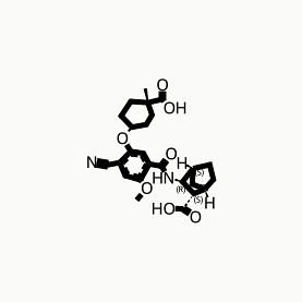 COc1cc(C#N)c(O[C@H]2CC[C@@](C)(C(=O)O)CC2)cc1C(=O)N[C@@H]1[C@H]2CC[C@H](C2)[C@@H]1C(=O)O